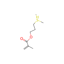 C=C(C)C(=O)OCCC[SH](C)C